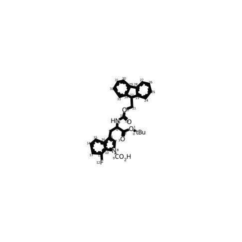 CC(C)(C)OC(=O)C(Cc1cn(C(=O)O)c2c(F)cccc12)NC(=O)OCC1c2ccccc2-c2ccccc21